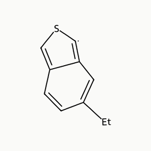 CCc1ccc2cs[c]c2c1